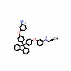 C#CCNc1cccc(Oc2ccc(C3(c4ccc(Oc5cccc(N)c5)cc4)c4ccccc4-c4ccccc43)cc2)c1